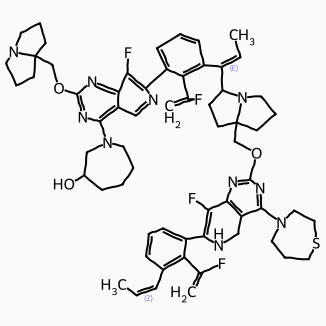 C=C(F)c1c(/C=C\C)cccc1C1=C(F)c2nc(OCC34CCCN3C(/C(=C/C)c3cccc(-c5ncc6c(N7CCCCC(O)C7)nc(OCC78CCCN7CCC8)nc6c5F)c3C(=C)F)CC4)nc(N3CCCSCC3)c2CN1